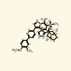 COc1ccc(-c2ccc(-c3cnn4c(N)c(S(C)(=O)=O)c([C@H]5C[C@H]6CC[C@@H](C5)N6C(=O)c5nnc[nH]5)nc34)cn2)cc1C